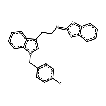 Clc1ccc(Cn2cc(CCN=c3sc4ccccc4s3)c3ccccc32)cc1